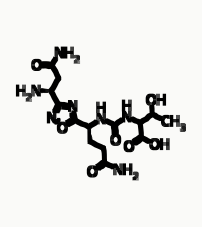 CC(O)C(NC(=O)N[C@@H](CCC(N)=O)c1nc([C@@H](N)CC(N)=O)no1)C(=O)O